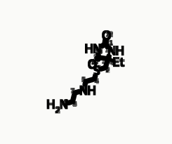 CC[C@]1(CSCCNCCN)NC(=O)NC1=O